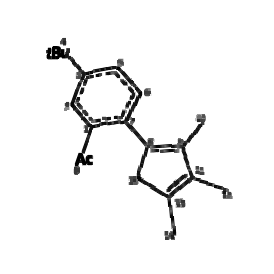 CC(=O)c1cc(C(C)(C)C)ccc1C1=C(C)C(C)=C(C)C1